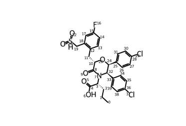 CCC[C@H](C(=O)O)N1C(=O)[C@H](Cc2ccc(F)cc2C[SH](=O)=O)O[C@@H](c2ccc(Cl)cc2)[C@H]1c1ccc(Cl)cc1